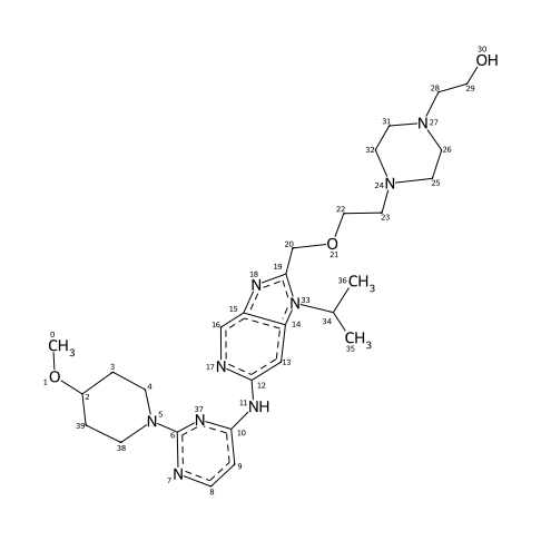 COC1CCN(c2nccc(Nc3cc4c(cn3)nc(COCCN3CCN(CCO)CC3)n4C(C)C)n2)CC1